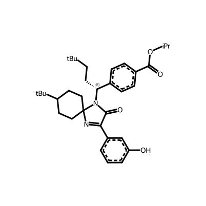 CC(C)OC(=O)c1ccc([C@@H](CCC(C)(C)C)N2C(=O)C(c3cccc(O)c3)=NC23CCC(C(C)(C)C)CC3)cc1